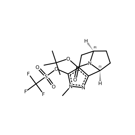 Cn1nc2c(c1OS(=O)(=O)C(F)(F)F)C[C@H]1CC[C@@H]2N1C(=O)OC(C)(C)C